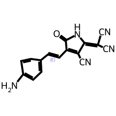 N#CC(C#N)=C1NC(=O)C(/C=C/c2ccc(N)cc2)=C1C#N